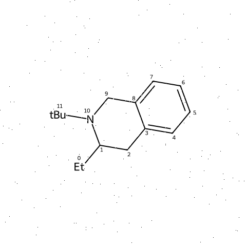 CCC1Cc2ccccc2CN1C(C)(C)C